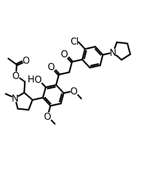 COc1cc(OC)c(C2CCN(C)C2COC(C)=O)c(O)c1C(=O)CC(=O)c1ccc(N2CCCC2)cc1Cl